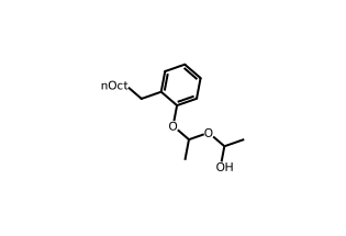 CCCCCCCCCc1ccccc1OC(C)OC(C)O